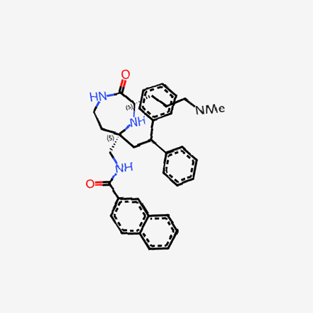 CNCCC[C@@H]1N[C@@](CNC(=O)c2ccc3ccccc3c2)(CC(c2ccccc2)c2ccccc2)CCNC1=O